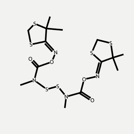 CN(SSN(C)C(=O)ON=C1SCSC1(C)C)C(=O)ON=C1SCSC1(C)C